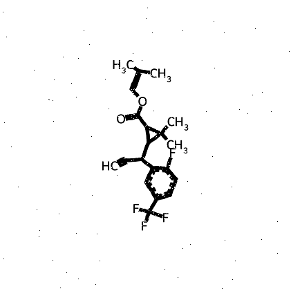 C#CC(c1cc(C(F)(F)F)ccc1F)C1C(C(=O)OC=C(C)C)C1(C)C